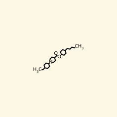 CCCCCC1CCC(OC(=O)C2CCN(C3CCC(CC)CC3)CC2)CC1